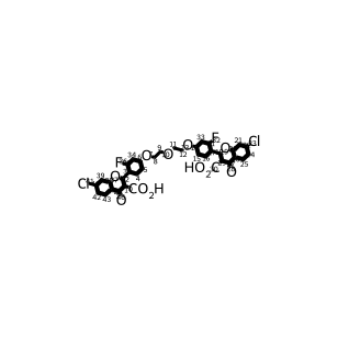 O=C(O)c1c(-c2ccc(OCCOCCOc3ccc(-c4oc5cc(Cl)ccc5c(=O)c4C(=O)O)c(F)c3)cc2F)oc2cc(Cl)ccc2c1=O